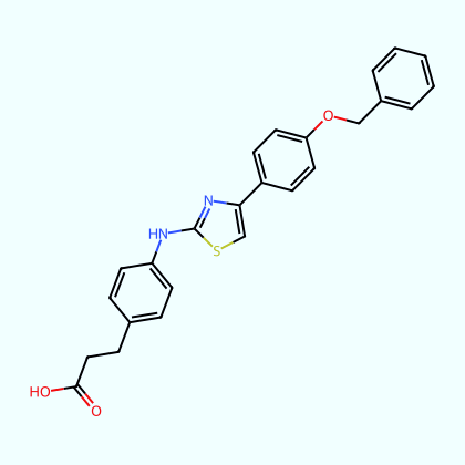 O=C(O)CCc1ccc(Nc2nc(-c3ccc(OCc4ccccc4)cc3)cs2)cc1